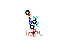 CC(C)(Oc1ccc(CN(CCCOc2ccccc2)c2cc(C(F)(F)F)cc(C(F)(F)F)c2)cc1)C(=O)O